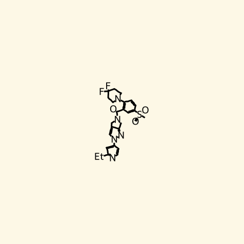 CCc1cc(-n2cc3c(n2)CN(C(=O)c2cc(S(C)(=O)=O)ccc2N2CCC(F)(F)CC2)C3)ccn1